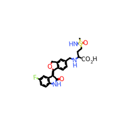 CS(=N)(=O)CCC(NCc1ccc2c(c1)CO/C2=C1/C(=O)Nc2ccc(F)cc21)C(=O)O